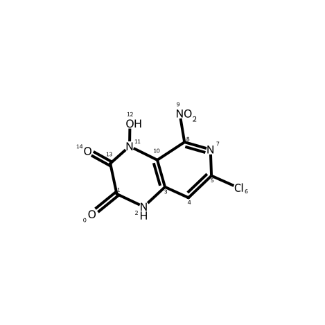 O=c1[nH]c2cc(Cl)nc([N+](=O)[O-])c2n(O)c1=O